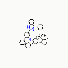 CC1(C)c2ccccc2-c2cc3c4ccccc4n(-c4cc(-c5nc(-c6ccccc6)c6ccccc6n5)ccc4-c4ccccc4)c3cc21